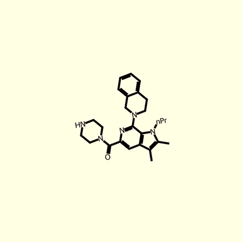 CCCn1c(C)c(C)c2cc(C(=O)N3CCNCC3)nc(N3CCc4ccccc4C3)c21